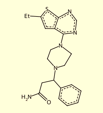 CCc1cc2c(N3CCN(C(CC(N)=O)c4ccccc4)CC3)ncnc2s1